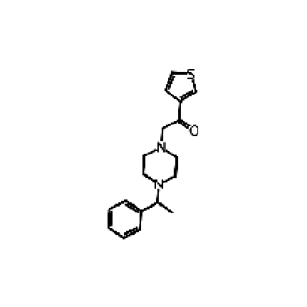 CC(c1ccccc1)N1CCN(CC(=O)c2ccsc2)CC1